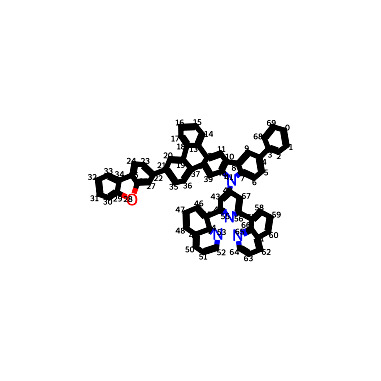 c1ccc(-c2ccc3c(c2)c2cc4c5ccccc5c5cc(-c6ccc7c(c6)oc6ccccc67)ccc5c4cc2n3-c2cc(-c3cccc4cccnc34)nc(-c3cccc4cccnc34)c2)cc1